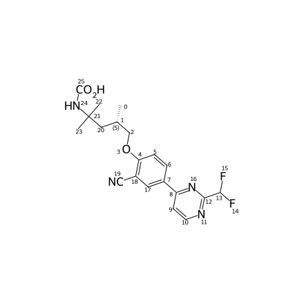 C[C@H](COc1ccc(-c2ccnc(C(F)F)n2)cc1C#N)CC(C)(C)NC(=O)O